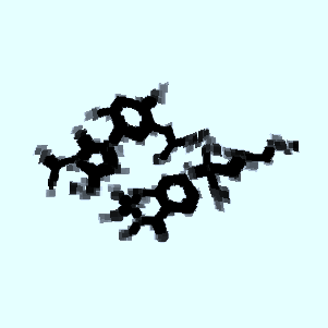 CC(C)N1C(=O)c2ccccc2NS1(=O)=O.CCOC(=O)C(Cl)Cc1cc(-n2nc(C)n(C(F)F)c2=O)c(F)cc1Cl.O=C(O)CNCP(=O)(O)O